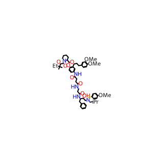 CCC(C)(C)C(=O)C(=O)N1CCCCC1C(=O)OC(CCc1ccc(OC)c(OC)c1)c1cccc(NC(=O)CCC(=O)NCCC(=O)NC(Cc2ccccc2)C(O)CN(CC(C)C)Sc2ccc(OC)cc2)c1